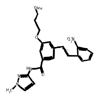 COCCCOc1cc(/C=C/c2ccccc2[N+](=O)[O-])cc(C(=O)Nc2ccn(C)n2)c1